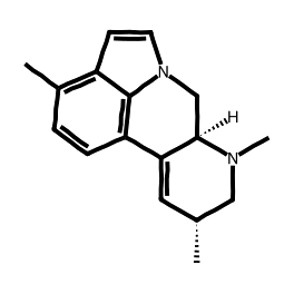 Cc1ccc2c3c1ccn3C[C@@H]1C2=C[C@@H](C)CN1C